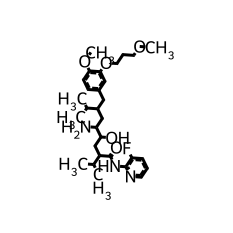 COCCCOc1cc(CC(CC(N)C(O)CC(C(=O)Nc2ncccc2F)C(C)C)C(C)C)ccc1OC